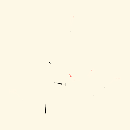 C[C@@H]1C[C@H]2[C@@H]3[C@H](OC(=O)C4(C)CC4O)CC4=CC(=O)C=C[C@]4(C)[C@H]3CC[C@]2(C)[C@H]1C(O)=S